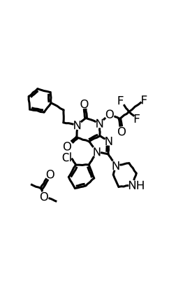 COC(C)=O.O=C(On1c(=O)n(CCc2ccccc2)c(=O)c2c1nc(N1CCNCC1)n2-c1ccccc1Cl)C(F)(F)F